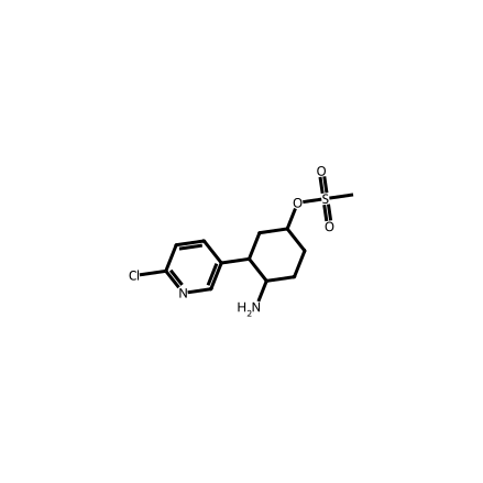 CS(=O)(=O)OC1CCC(N)C(c2ccc(Cl)nc2)C1